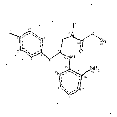 Cc1ccc(CC(CN(C)C(=O)CO)Nc2ncccc2N)cc1